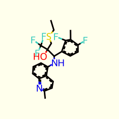 CCSCC(O)(C(Nc1cccc2nc(C)ccc12)c1ccc(F)c(C)c1F)C(F)(F)F